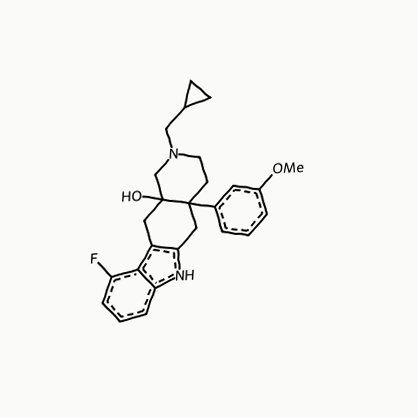 COc1cccc(C23CCN(CC4CC4)CC2(O)Cc2c([nH]c4cccc(F)c24)C3)c1